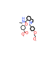 COCCOc1ccc(Cn2ccc3cccc(C(=O)NC(C)[C@H]4CC[C@H](C(=O)OC)CC4)c32)cc1